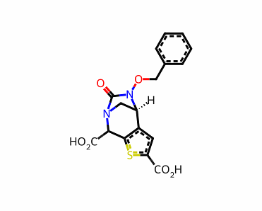 O=C(O)c1cc2c(s1)C(C(=O)O)N1C[C@H]2N(OCc2ccccc2)C1=O